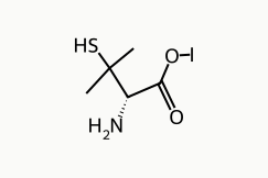 CC(C)(S)[C@@H](N)C(=O)OI